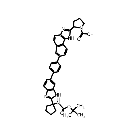 CC(C)(C)OC(=O)NC1(c2nc3ccc(-c4ccc(-c5ccc6c(ccc7nc(C8CCCN8C(=O)O)[nH]c76)c5)cc4)cc3[nH]2)CCCC1